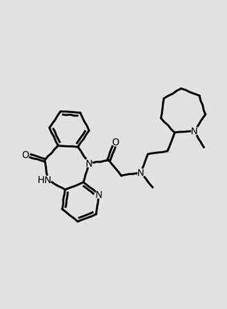 CN(CCC1CCCCCN1C)CC(=O)N1c2ccccc2C(=O)Nc2cccnc21